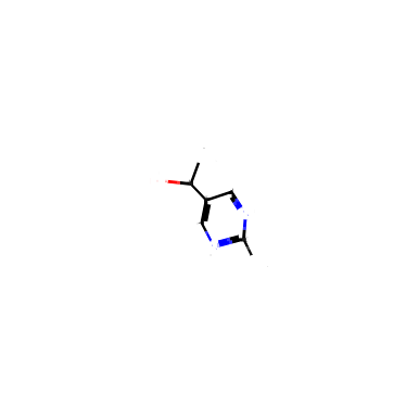 CC(O)c1cnc(C(F)(F)F)nc1